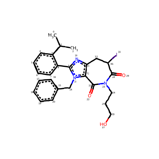 CC(C)c1ccccc1-c1nc2c(n1Cc1ccccc1)C(=O)N(CCCO)C(=O)C(I)C2